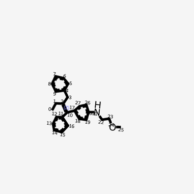 CC/C(Cc1ccccc1)=C(\c1ccccc1)c1ccc(NCCOC)cc1